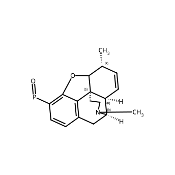 C[C@@H]1C=C[C@H]2[C@H]3Cc4ccc(P=O)c5c4[C@@]2(CCN3C)C1O5